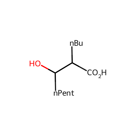 CCCCCC(O)C(CCCC)C(=O)O